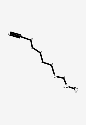 C#CCCCCCOCOCC